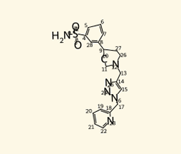 NS(=O)(=O)c1cccc(C2CCN(Cc3cn(Cc4ccccn4)nn3)CC2)c1